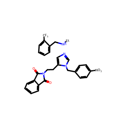 CCNCc1ccccc1C(F)(F)F.O=C1c2ccccc2C(=O)N1CCc1cncn1Cc1ccc([N+](=O)[O-])cc1